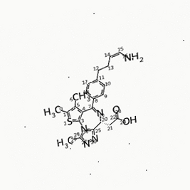 Cc1sc2c(c1C)C(c1ccc(CC/C=C\N)cc1)=N[C@H](CC(=O)O)c1nnc(C)n1-2